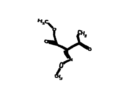 CON=C(C(C)=O)C(=O)OC